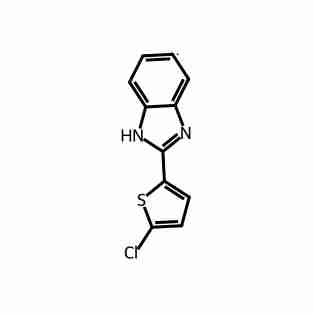 Clc1ccc(-c2nc3c[c]ccc3[nH]2)s1